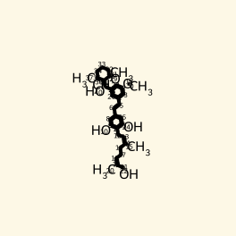 COc1cc(C=Cc2cc(O)c(CC=C(C)CCC=C(C)CO)c(O)c2)cc2c1OC1(C)CCCC(C)(C)C1C2O